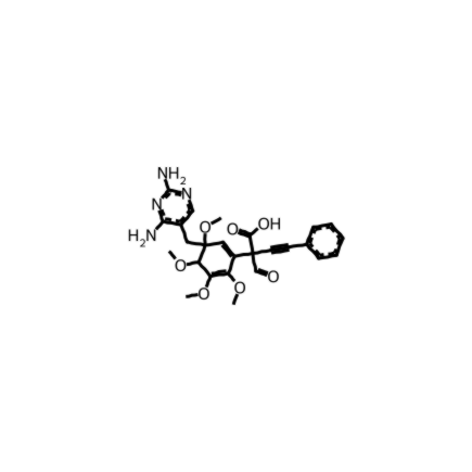 COC1=C(OC)C(OC)C(Cc2cnc(N)nc2N)(OC)C=C1C(C#Cc1ccccc1)(C=O)C(=O)O